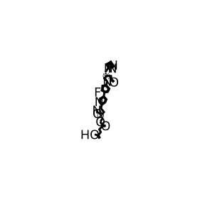 C=C(O)CCC(=O)OC[C@@H]1CC(c2ccc(-c3ccc(N4C[C@H](Cn5ccnn5)CC4=O)cc3F)cn2)=NO1